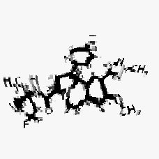 COc1cc2c(cc1-c1nnn(C)n1)-c1c(-c3ccc(F)cn3)cc(C(=O)N[C@](C)(C#N)CC(F)(F)F)n1CC2